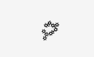 c1ccc(-c2nc(-c3ccccc3)nc(-c3ccc4sc(-c5cccc(-n6c7ccccc7c7cc(-c8cccc9c8oc8ccccc89)ccc76)c5)nc4c3)n2)cc1